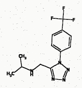 CC(C)NCc1nnnn1-c1ccc(C(F)(F)F)cc1